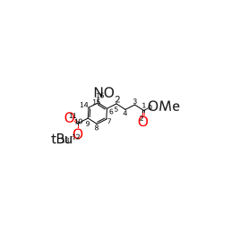 COC(=O)CCCc1ccc(C(=O)OC(C)(C)C)cc1[N+](=O)[O-]